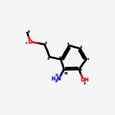 COCCc1cccc(O)c1N